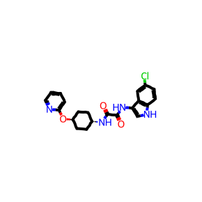 O=C(Nc1c[nH]c2ccc(Cl)cc12)C(=O)N[C@H]1CC[C@H](Oc2ccccn2)CC1